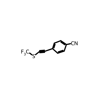 N#Cc1ccc(C#CSC(F)(F)F)cc1